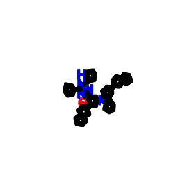 c1ccc(C2=NC(c3cc(-n4c5ccccc5c5cc(-c6ccc7ccccc7c6)ccc54)cc4c3oc3cc5ccccc5cc34)=NC(c3ccccc3)N2)cc1